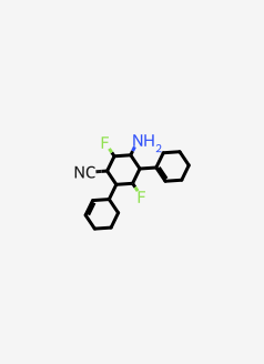 N#CC1C(F)C(N)C(C2=CCCCC2)C(F)C1C1C=CCCC1